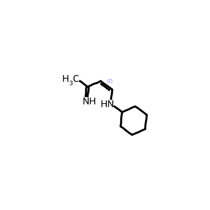 CC(=N)/C=C\NC1CCCCC1